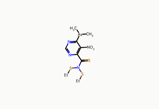 CCSN(SCC)C(=S)c1ncnc([As](C)C)c1[N+](=O)[O-]